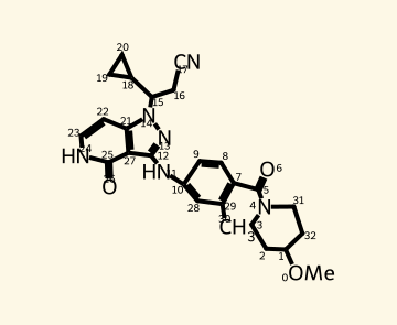 COC1CCN(C(=O)c2ccc(Nc3nn(C(CC#N)C4CC4)c4cc[nH]c(=O)c34)cc2C)CC1